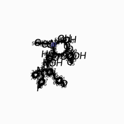 CC[C@H]1OC(=O)[C@H](C)[C@@H](O[C@H]2C[C@@](C)(OC)[C@@H](O)[C@H](C)O2)[C@H](C)[C@@H](O[C@@H]2O[C@H](C)C[C@H](N(C)C)[C@H]2O)[C@](C)(O)C[C@@H](C)/C(=N\OCOCCOC)[C@H](C)[C@@H](O)[C@]1(C)O.COc1ccc(CCN2CCC(Nc3nc4ccccc4n3Cc3ccc(F)cc3)CC2)cc1